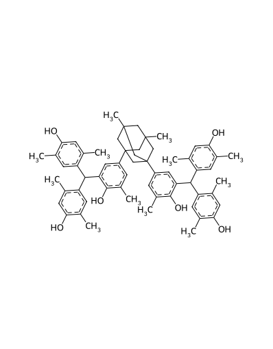 Cc1cc(C(c2cc(C)c(O)cc2C)c2cc(C34CC5(C)CC(C)(C3)CC(c3cc(C)c(O)c(C(c6cc(C)c(O)cc6C)c6cc(C)c(O)cc6C)c3)(C5)C4)cc(C)c2O)c(C)cc1O